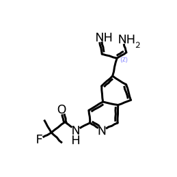 CC(C)(F)C(=O)Nc1cc2cc(/C(C=N)=C/N)ccc2cn1